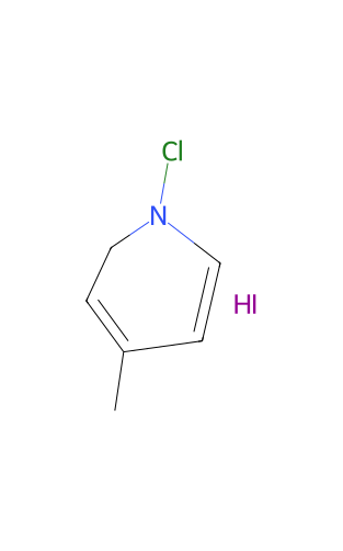 CC1=CCN(Cl)C=C1.I